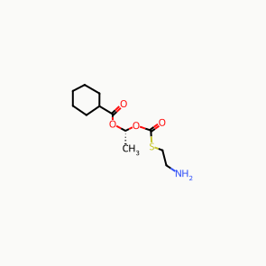 C[C@@H](OC(=O)SCCN)OC(=O)C1CCCCC1